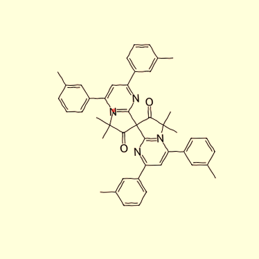 Cc1cccc(-c2cc(-c3cccc(C)c3)nc(C(C(=O)C(C)(C)C)(C(=O)C(C)(C)C)c3nc(-c4cccc(C)c4)cc(-c4cccc(C)c4)n3)n2)c1